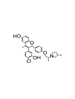 CC1=C(c2ccc(Cl)c(O)c2)C(c2ccc(OC[C@H](C)N3CC[C@@H](C)C3)cc2)Oc2ccc(O)cc21